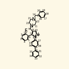 Fc1ccccc1-c1c(CN2CCN(Cc3ccccc3)CC2)cnn1-c1ccc(-c2ccccc2)cc1